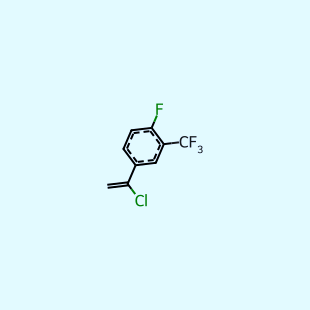 C=C(Cl)c1ccc(F)c(C(F)(F)F)c1